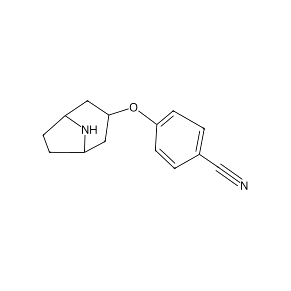 N#Cc1ccc(OC2CC3CCC(C2)N3)cc1